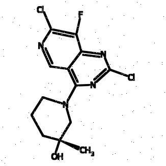 C[C@@]1(O)CCCN(c2nc(Cl)nc3c(F)c(Cl)ncc23)C1